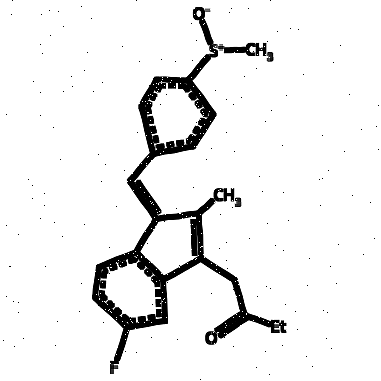 CCC(=O)CC1=C(C)/C(=C\c2ccc([S+](C)[O-])cc2)c2ccc(F)cc21